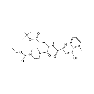 CCOC(=O)N1CCN(C(=O)C(CCC(=O)OC(C)(C)C)NC(=O)c2cc(O)c3c(C)cccc3n2)CC1